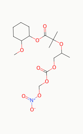 COC1CCCCC1OC(=O)C(C)(C)OC(C)COC(=O)OCO[N+](=O)[O-]